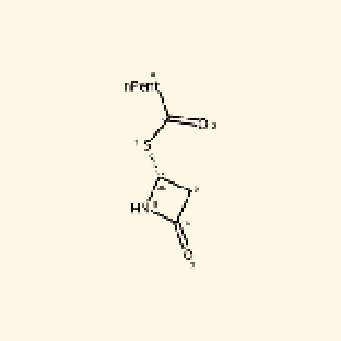 CCCCCC(=O)S[C@@H]1CC(=O)N1